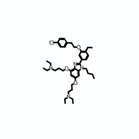 CCCCn1c(-c2ccc(CC)c(OCCc3ccc(Cl)cc3)c2)nc2c(OCCCN(CC)CC)cc(OCCCN(CC)CC)cc21